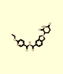 CCOc1ccc(C(=O)NC(=O)c2ccc3c(c2)CN(C2CCC(=O)NC2=O)C3)cn1